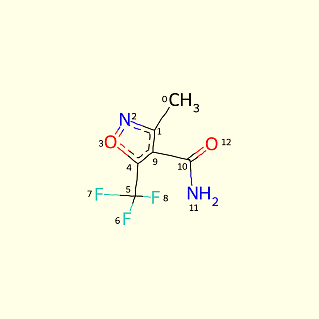 Cc1noc(C(F)(F)F)c1C(N)=O